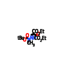 CCOC(=O)C(=O)/C(=C\NN(C)C(=O)OC(C)(C)C)C(=O)OCC